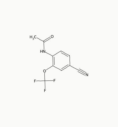 CC(=O)Nc1ccc(C#N)cc1OC(F)(F)F